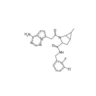 CC1C2CC(C(=O)NCc3cccc(Cl)c3F)N(C(=O)Cc3ccc4c(N)ncnn34)C12